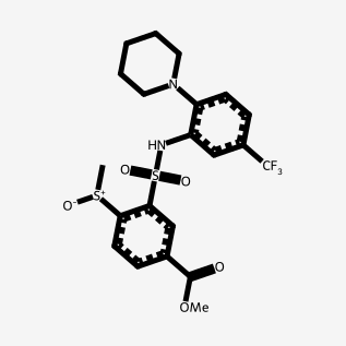 COC(=O)c1ccc([S+](C)[O-])c(S(=O)(=O)Nc2cc(C(F)(F)F)ccc2N2CCCCC2)c1